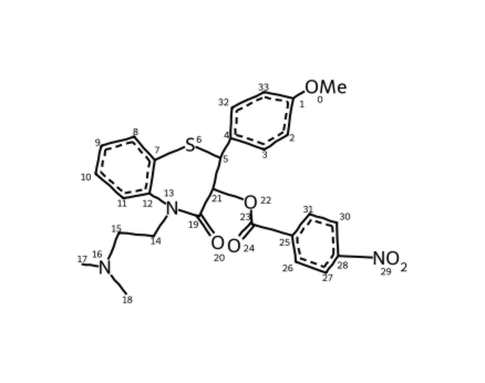 COc1ccc(C2Sc3ccccc3N(CCN(C)C)C(=O)C2OC(=O)c2ccc([N+](=O)[O-])cc2)cc1